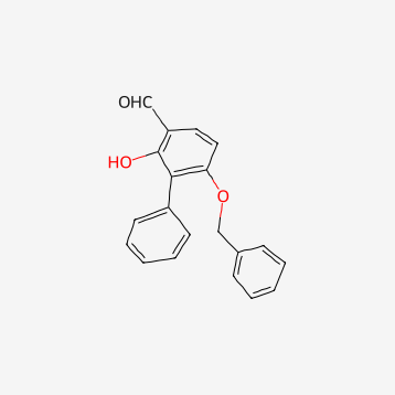 O=Cc1ccc(OCc2ccccc2)c(-c2ccccc2)c1O